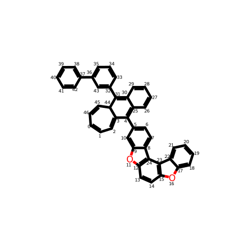 C1=CC=C2C(c3ccc4c(c3)oc3ccc5oc6ccccc6c5c34)=c3ccccc3=C(c3cccc(-c4ccccc4)c3)C2C=C1